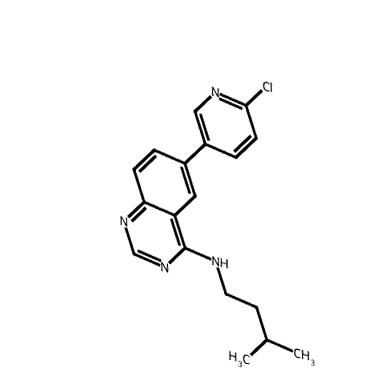 CC(C)CCNc1ncnc2ccc(-c3ccc(Cl)nc3)cc12